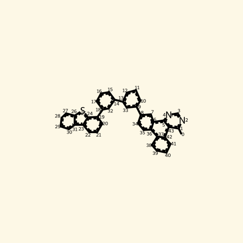 Cc1ncnc2c3cc(-c4cccc(-c5cccc(-c6cccc7c6sc6ccccc67)c5)c4)ccc3c3ccccc3c12